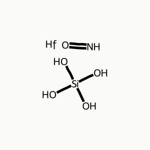 N=O.O[Si](O)(O)O.[Hf]